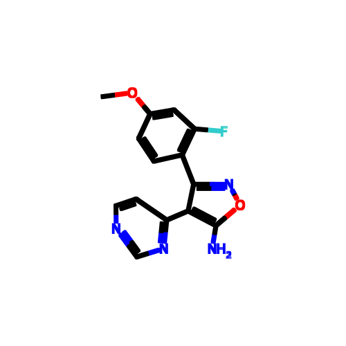 COc1ccc(-c2noc(N)c2-c2ccncn2)c(F)c1